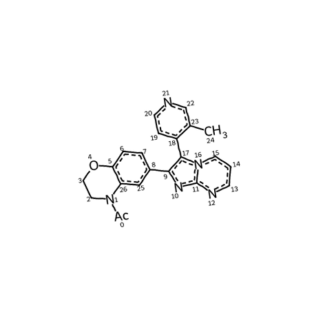 CC(=O)N1CCOc2ccc(-c3nc4ncccn4c3-c3ccncc3C)cc21